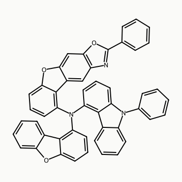 c1ccc(-c2nc3cc4c(cc3o2)oc2cccc(N(c3cccc5oc6ccccc6c35)c3cccc5c3c3ccccc3n5-c3ccccc3)c24)cc1